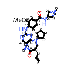 C=CC[C@H]1CN(C2CCCC2)c2nc(Nc3ccc(C(=O)NC4CN(C)C4)cc3OC)ncc2N(C)C1=O